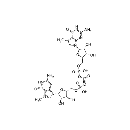 C[n+]1cn([C@@H]2O[C@H](COP(=O)(O)O[PH](=O)OP(=O)(O)OC[C@H]3O[C@@H](n4c[n+](C)c5c(=O)[nH]c(N)nc54)[C@H](O)[C@@H]3O)[C@@H](O)[C@H]2O)c2nc(N)[nH]c(=O)c21